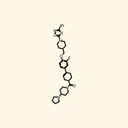 CC(C)c1noc(N2CCC(COc3ccc(C4=CCC(C(=O)N5CCC(N6CCCC6)CC5)CC4)cc3F)CC2)n1